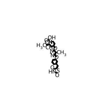 Cc1c(Oc2cccc(C=C3SC(=O)NC3=O)c2)ncnc1OC1CCN(C(=O)O)C(C(C)(C)C)C1